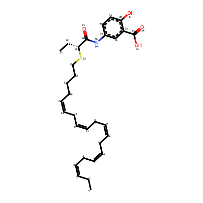 CC/C=C\C/C=C\C/C=C\C/C=C\C/C=C\CCCCS[C@H](CC)C(=O)Nc1ccc(O)c(C(=O)O)c1